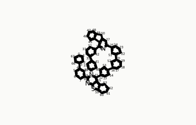 c1ccc(-c2cccc(-c3nc(-c4ccc(-c5cccc(-c6cccc(-c7cc8c(c(-c9cccc(-c%10ccccc%10)c9)n7)-c7ccccc7C8)c6)c5)cc4)c4c(n3)sc3ccccc34)c2)cc1